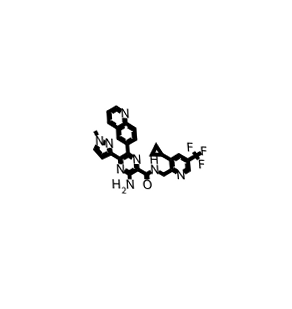 Cn1ccc(-c2nc(N)c(C(=O)NCc3ncc(C(F)(F)F)cc3C3CC3)nc2-c2ccc3ncccc3c2)n1